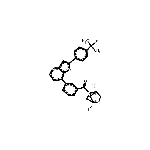 CC(C)(F)c1ccc(-c2cc3nccc(-c4cccc(C(=O)N5C[C@H]6C[C@@H]5CO6)c4)c3o2)cc1